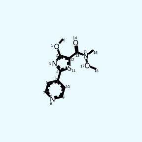 COc1nc(-c2ccncc2)sc1C(=O)N(C)OC